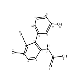 O=C(O)Nc1ccc(Cl)c(F)c1-c1cc(O)ncn1